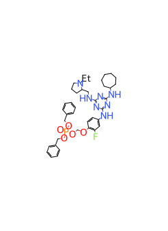 CCN1CCCC1CNc1nc(Nc2ccc(OCOP(=O)(OCc3ccccc3)OCc3ccccc3)c(F)c2)nc(NC2CCCCCC2)n1